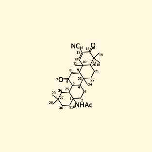 CC(=O)NC12CCC3C(C(=O)C=C4C5(C)C=C(C#N)C(=O)C(C)(C)C5CCC43C)C1CC(C)(C)CC2